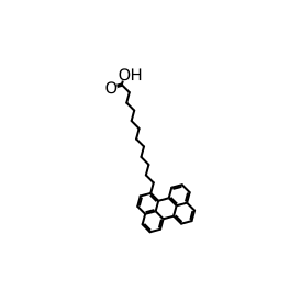 O=C(O)CCCCCCCCCCCc1ccc2cccc3c4cccc5cccc(c1c23)c54